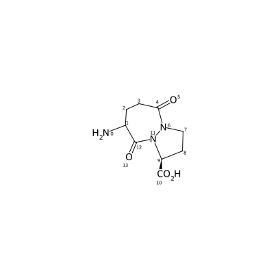 NC1CCC(=O)N2CC[C@@H](C(=O)O)N2C1=O